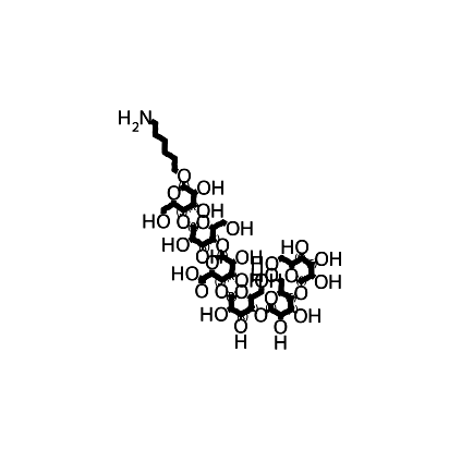 NCCCCCCO[C@H]1OC(CO)[C@@H](O[C@@H]2OC(CO)[C@@H](O[C@@H]3OC(C(=O)O)[C@@H](O[C@H]4OC(CO)[C@H](O[C@H]5OC(CO)[C@@H](O[C@@H]6OC(CO)[C@@H](O)[C@H](O)C6O)[C@H](O)C5O)[C@H](O)C4O)[C@H](O)C3O)[C@H](O)C2O)[C@H](O)C1O